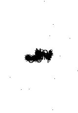 C=CC(=C)N1CC(F)C[C@@H](NC(=O)c2sc3nccc4c3c2NC(=O)N4c2ccc(Oc3ccccc3)cc2C)C1